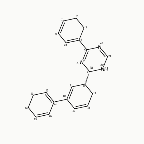 C1=CCCC(C2=N[C@@H](C3C=C(C4=CCCC=C4)C=CC3)NC=N2)=C1